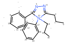 CCCC1=NN=C(c2ccccc2)[N+]1(CCC)c1ccccc1